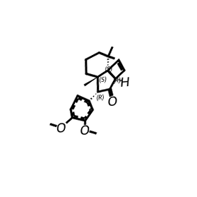 COc1ccc([C@H]2C(=O)[C@@H]3C=C[C@@]34C(C)(C)CCC[C@@]24C)cc1OC